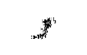 C[C@@H](C=O)NC(=O)c1ccc(NCc2cnc3nc(N)[nH]c(=O)c3n2)cc1